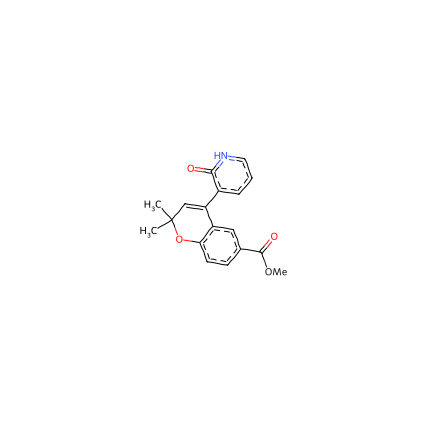 COC(=O)c1ccc2c(c1)C(c1ccc[nH]c1=O)=CC(C)(C)O2